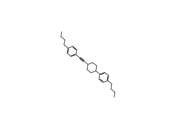 CCCCc1ccc(C#CC2CCC(c3ccc(CCCC)cc3)CC2)cc1